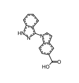 O=C(O)c1ccc2c(ccn2-c2n[nH]c3ccccc23)c1